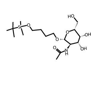 CC(=O)N[C@H]1[C@H](OCCCCO[Si](C)(C)C(C)(C)C)O[C@H](CO)[C@H](O)[C@@H]1O